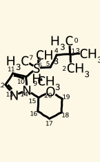 CC(C)(C)CC[SH](C)(C)(C)c1ccnn1C1CCCCO1